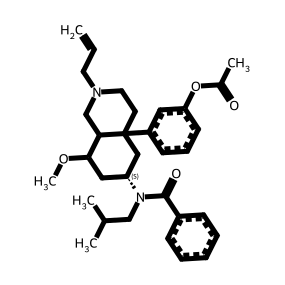 C=CCN1CCC2(c3cccc(OC(C)=O)c3)C[C@H](N(CC(C)C)C(=O)c3ccccc3)CC(OC)C2C1